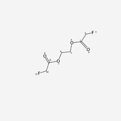 O=C(CF)OCCOC(=O)CF